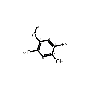 COc1cc(F)c(O)cc1F